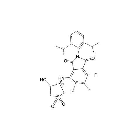 CC(C)c1cccc(C(C)C)c1N1C(=O)c2c(F)c(F)c(F)c(N[C@H]3CS(=O)(=O)CC3O)c2C1=O